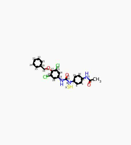 CC(=O)Nc1ccc(N(S)C(=O)Nc2cc(Cl)c(OCc3ccccc3)c(Cl)c2)cc1